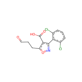 O=CCCc1onc(-c2c(Cl)cccc2Cl)c1C(=O)O